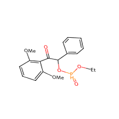 CCO[PH](=O)OC(C(=O)c1c(OC)cccc1OC)c1ccccc1